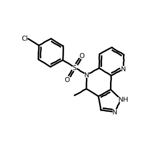 CC1c2cn[nH]c2-c2ncccc2N1S(=O)(=O)c1ccc(Cl)cc1